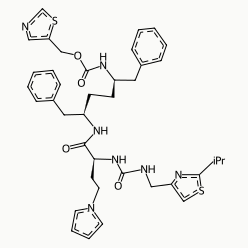 CC(C)c1nc(CNC(=O)N[C@@H](CCn2cccc2)C(=O)N[C@H](CC[C@H](Cc2ccccc2)NC(=O)OCc2cncs2)Cc2ccccc2)cs1